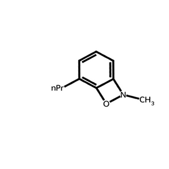 CCCc1cccc2c1on2C